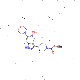 CC(C)(C)OC(=O)N1CCC(c2c[nH]c3c2CN(O)C(N2CCOCC2)=C3)CC1